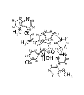 COc1ccccc1-c1ccnc(CC2CCCN(Cc3ccc4c(c3)C3(CCC(Nc5cccc(Cl)c5)(C(=O)O)CC3)[C@@H](C[C@@H](C)COc3ccnc5c3[C@H](C)CCC5)C4)C2)n1